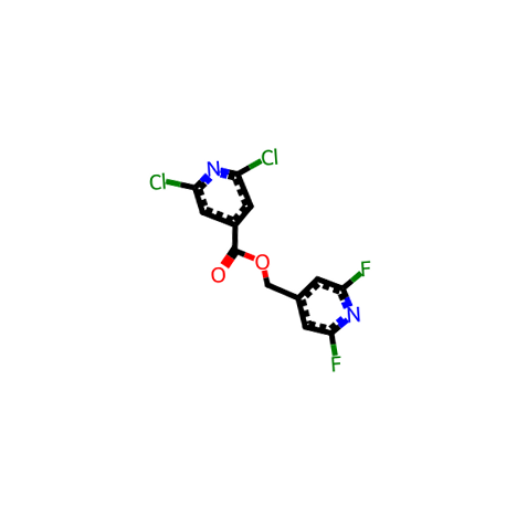 O=C(OCc1cc(F)nc(F)c1)c1cc(Cl)nc(Cl)c1